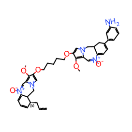 C=CC[C@H]1C=CC=C2C1Cn1cc(OCCCCCOc3cn4c(c3OC)C=[N+]([O-])C3=CC=C(c5cccc(N)c5)CC3C4)c(OC)c1C=[N+]2[O-]